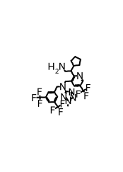 Cn1nnc(N(Cc2cc(C(F)(F)F)cc(C(F)(F)F)c2)Cc2cc(C(F)(F)F)cnc2C(CN)C2CCCC2)n1